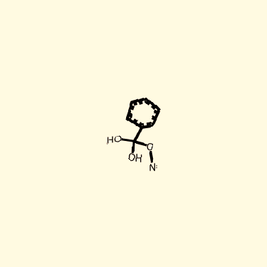 [N]OC(O)(O)c1ccccc1